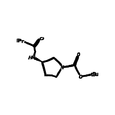 CC(C)C(=O)N[C@@H]1CCN(C(=O)OC(C)(C)C)C1